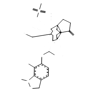 C[C@@H]1CC[C@@]23CCC(=O)[C@H]2[C@@]1(C)[C@H](C(Oc1ccc2c(c1F)B(O)OC2)C(=O)O)C[C@@](C)(CN)[C@@H](OS(C)(=O)=O)[C@@H]3C